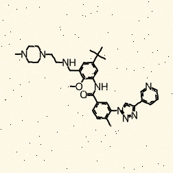 COc1c(CNCCN2CCN(C)CC2)cc(C(C)(C)C)cc1NC(=O)c1ccc(C)c(-n2cc(-c3cccnc3)nn2)c1